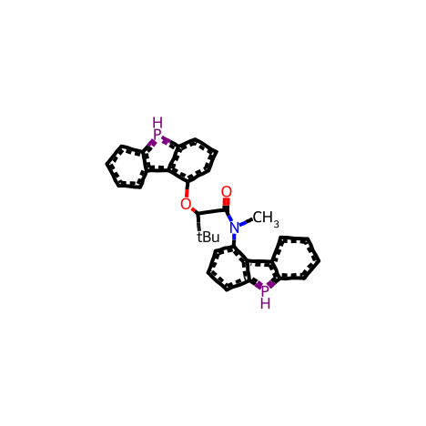 CN(C(=O)C(Oc1cccc2[pH]c3ccccc3c12)C(C)(C)C)c1cccc2[pH]c3ccccc3c12